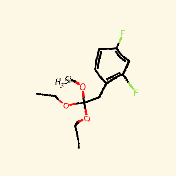 CCOC(Cc1ccc(F)cc1F)(O[SiH3])OCC